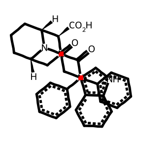 O=C(O)[C@@H]1[C@H]2CCC[C@@H](CN1C(=O)N(c1ccccc1)c1ccccc1)N2C(=O)Cc1c[nH]c2ccccc12